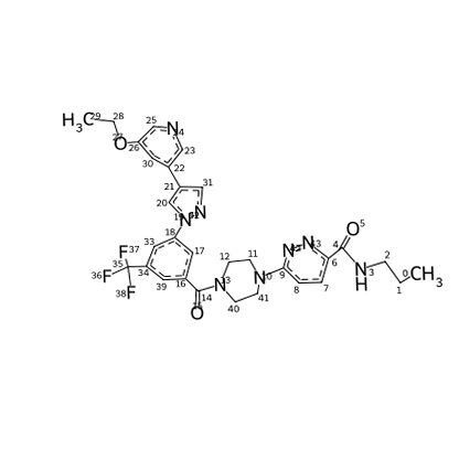 CCCNC(=O)c1ccc(N2CCN(C(=O)c3cc(-n4cc(-c5cncc(OCC)c5)cn4)cc(C(F)(F)F)c3)CC2)nn1